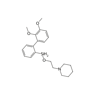 COc1cccc(-c2ccccc2[SiH2]OCCN2CCCCC2)c1OC